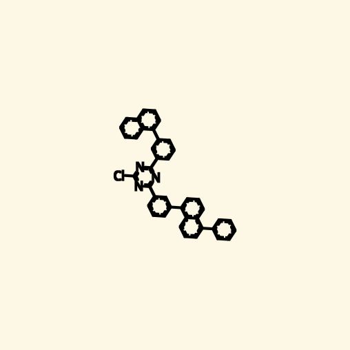 Clc1nc(-c2cccc(-c3cccc4ccccc34)c2)nc(-c2cccc(-c3cccc4c(-c5ccccc5)cccc34)c2)n1